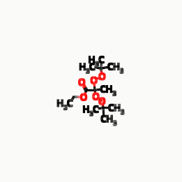 CCOC(=O)C(C)(OOC(C)(C)C)OOC(C)(C)C